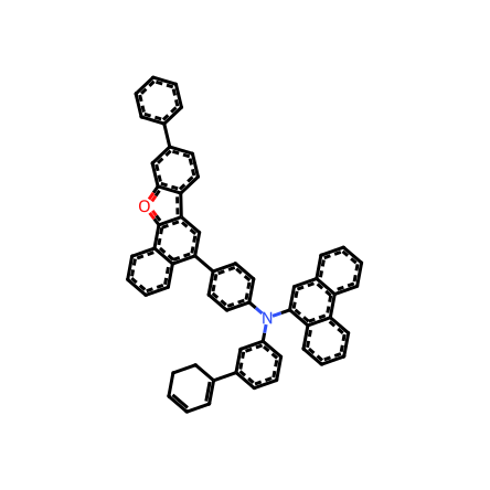 C1=CCCC(c2cccc(N(c3ccc(-c4cc5c6ccc(-c7ccccc7)cc6oc5c5ccccc45)cc3)c3cc4ccccc4c4ccccc34)c2)=C1